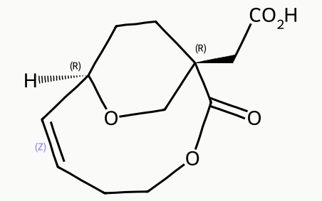 O=C(O)C[C@@]12CC[C@H](/C=C\CCOC1=O)OC2